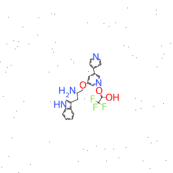 N[C@H](COc1cncc(-c2ccncc2)c1)Cc1c[nH]c2ccccc12.O=C(O)C(F)(F)F